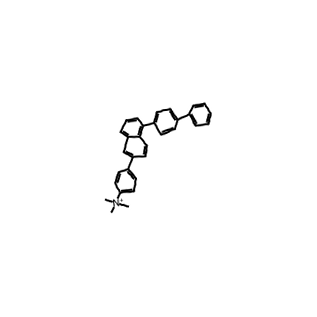 C[N+](C)(C)c1ccc(-c2ccc3c(-c4ccc(-c5ccccc5)cc4)cccc3c2)cc1